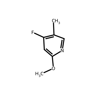 COc1cc(F)c(C)cn1